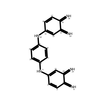 N=C1C=CC(Nc2ccc(NC3=CC(=N)C(=N)C=C3)cc2)=CC1=N